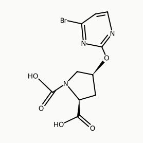 O=C(O)[C@@H]1C[C@H](Oc2nccc(Br)n2)CN1C(=O)O